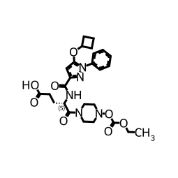 CCOC(=O)ON1CCN(C(=O)[C@H](CCC(=O)O)NC(=O)c2cc(OC3CCC3)n(-c3ccccc3)n2)CC1